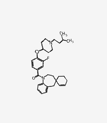 CC(C)CCN1CCC(Oc2ccc(C(=O)N3CCC4(C=CCCC4)Cc4ccccc43)cc2F)CC1